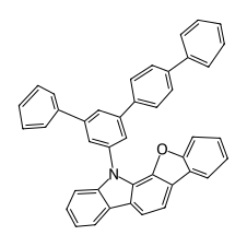 c1ccc(-c2ccc(-c3cc(-c4ccccc4)cc(-n4c5ccccc5c5ccc6c7ccccc7oc6c54)c3)cc2)cc1